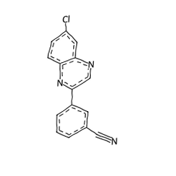 N#Cc1cccc(-c2cnc3cc(Cl)ccc3n2)c1